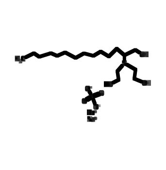 CCCCCCCCCCCCC(CO)N(CCO)CCO.O=S(=O)([O-])[O-].[Na+].[Na+]